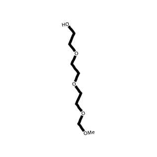 COCOCCOCCOCCO